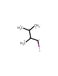 [CH2]C(C)C(C)CI